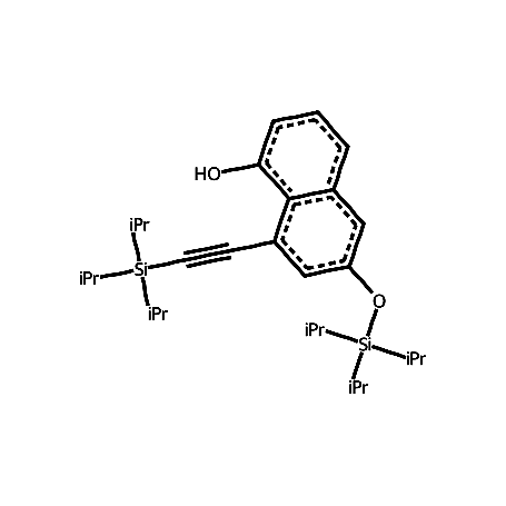 CC(C)[Si](C#Cc1cc(O[Si](C(C)C)(C(C)C)C(C)C)cc2cccc(O)c12)(C(C)C)C(C)C